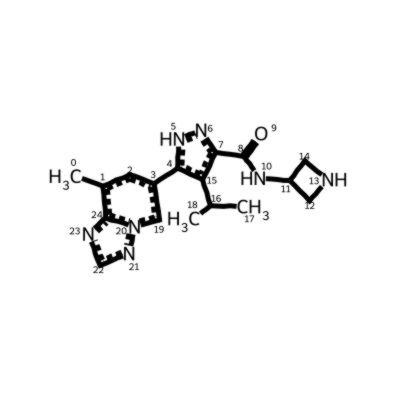 Cc1cc(-c2[nH]nc(C(=O)NC3CNC3)c2C(C)C)cn2ncnc12